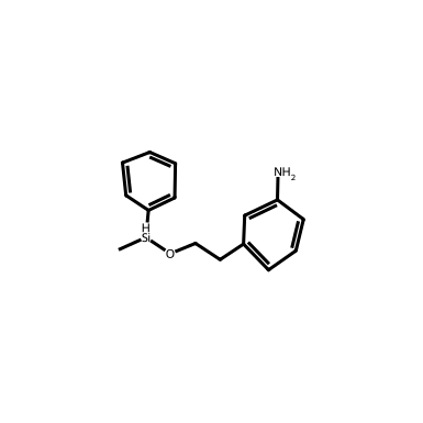 C[SiH](OCCc1cccc(N)c1)c1ccccc1